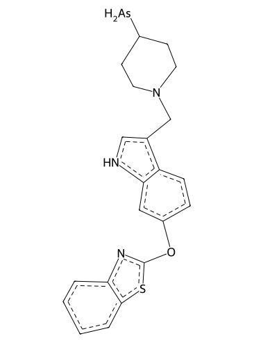 [AsH2]C1CCN(Cc2c[nH]c3cc(Oc4nc5ccccc5s4)ccc23)CC1